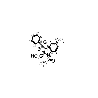 NC(=O)N1c2ccc([N+](=O)[O-])cc2C(S(=O)(=O)c2ccccc2)C1C(=O)O